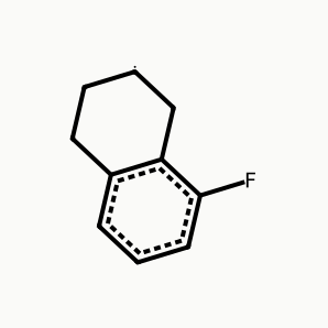 Fc1cccc2c1C[CH]CC2